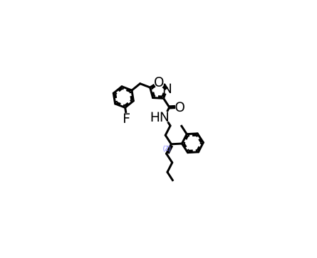 CCC/C=C(/CCNC(=O)c1cc(Cc2cccc(F)c2)on1)c1ccccc1C